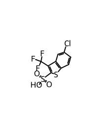 O=S(=O)(O)c1sc2ccc(Cl)cc2c1C(F)(F)F